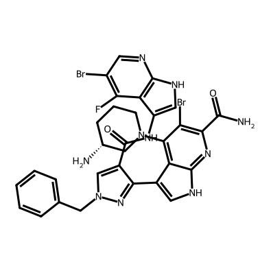 NC(=O)c1nc2[nH]cc(-c3nn(Cc4ccccc4)cc3C(=O)Nc3c[nH]c4ncc(Br)c(F)c34)c2c(N2CCC[C@@H](N)C2)c1Br